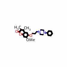 COc1cc2oc(=O)c(C)c(C)c2cc1OCCCN1CCN(c2ccccc2)CC1